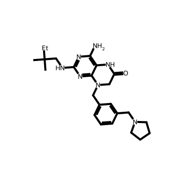 CCC(C)(C)CNc1nc(N)c2c(n1)N(Cc1cccc(CN3CCCC3)c1)CC(=O)N2